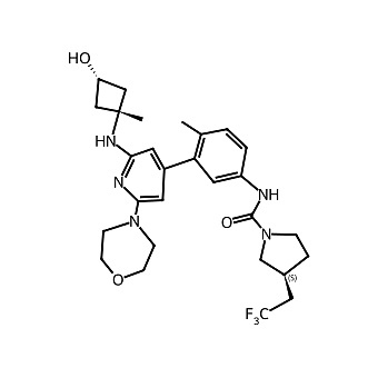 Cc1ccc(NC(=O)N2CC[C@@H](CC(F)(F)F)C2)cc1-c1cc(N[C@]2(C)C[C@H](O)C2)nc(N2CCOCC2)c1